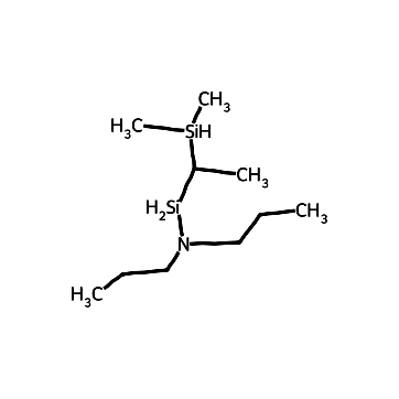 CCCN(CCC)[SiH2]C(C)[SiH](C)C